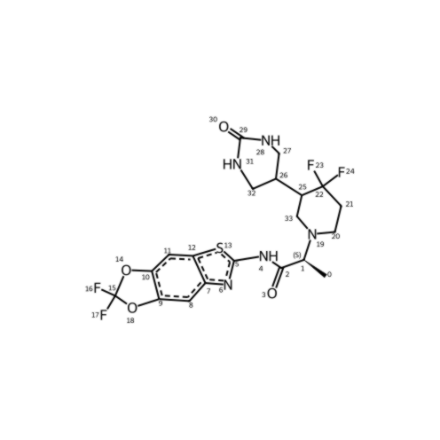 C[C@@H](C(=O)Nc1nc2cc3c(cc2s1)OC(F)(F)O3)N1CCC(F)(F)C(C2CNC(=O)NC2)C1